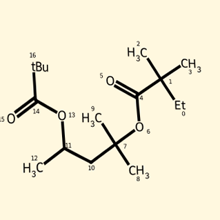 CCC(C)(C)C(=O)OC(C)(C)CC(C)OC(=O)C(C)(C)C